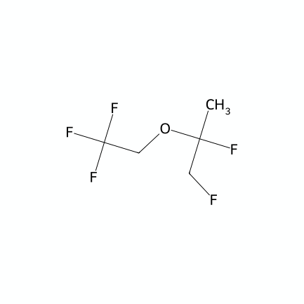 CC(F)(CF)OCC(F)(F)F